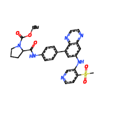 CC(C)(C)OC(=O)N1CCCC1C(=O)Nc1ccc(-c2cc(Nc3cnccc3S(C)(=O)=O)cc3nccnc23)cc1